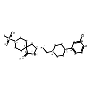 CS(=O)(=O)N1CCC2(CC1)C[C@H](CCN1CCN(c3cccc(Cl)c3)CC1)NC2=O